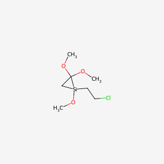 COC1(OC)C[Si]1(CCCl)OC